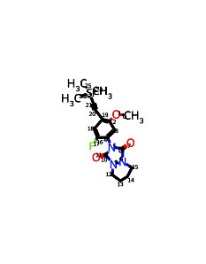 COc1cc(-n2c(=O)n3n(c2=O)CCCC3)c(F)cc1C#C[Si](C)(C)C